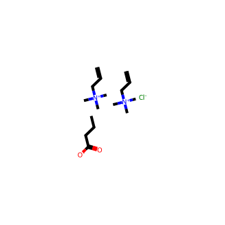 C=CC[N+](C)(C)C.C=CC[N+](C)(C)C.CCCC(=O)[O-].[Cl-]